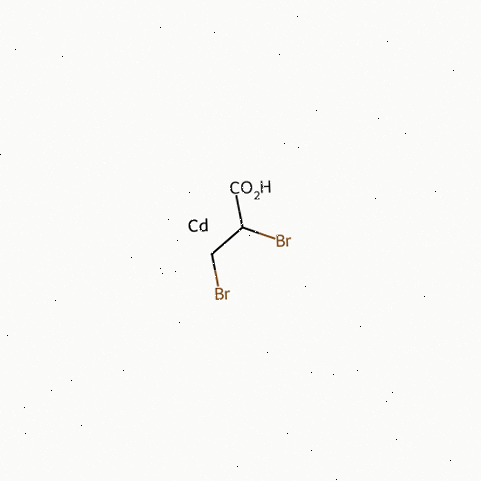 O=C(O)C(Br)CBr.[Cd]